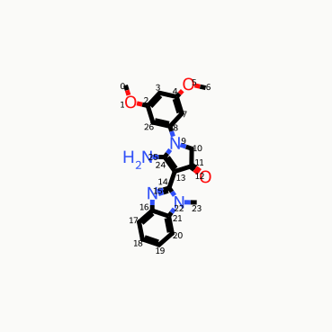 COc1cc(OC)cc(N2CC(=O)C(c3nc4ccccc4n3C)=C2N)c1